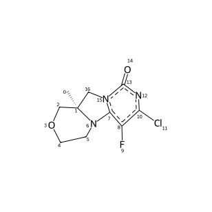 C[C@@]12COCCN1c1c(F)c(Cl)nc(=O)n1C2